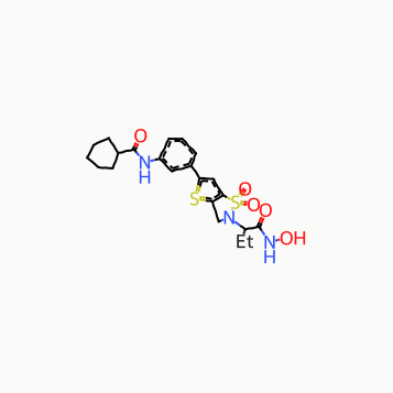 CCC(C(=O)NO)N1Cc2sc(-c3cccc(NC(=O)C4CCCCC4)c3)cc2S1(=O)=O